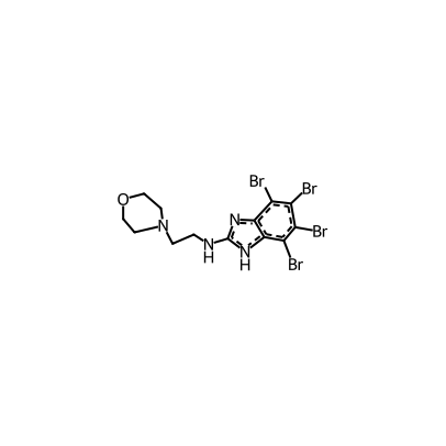 Brc1c(Br)c(Br)c2[nH]c(NCCN3CCOCC3)nc2c1Br